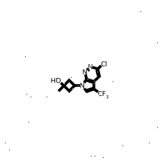 CC1(O)CC(n2cc(C(F)(F)F)c3cc(Cl)nnc32)C1